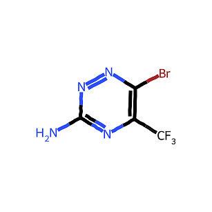 Nc1nnc(Br)c(C(F)(F)F)n1